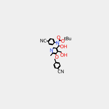 Cc1ncc(C(O)N(C(=O)OC(C)(C)C)c2ccc(C#N)cc2)c(CO)c1OCc1ccc(C#N)cc1